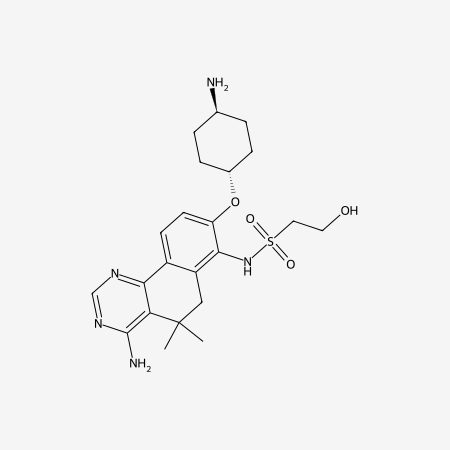 CC1(C)Cc2c(ccc(O[C@H]3CC[C@H](N)CC3)c2NS(=O)(=O)CCO)-c2ncnc(N)c21